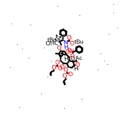 C=CCOC(=O)O[C@H]1C(=O)[C@]2(C)[C@@H](OC(=O)OCC=C)C[C@H]3OC[C@@]3(OC(C)=O)[C@H]2[C@H](OC(=O)c2ccccc2)[C@]2(O)C[C@H](OC[C@](C=O)([C@@H](NC(=O)OC(C)(C)C)c3ccccc3)[Si](C)(C)C(C)(C)C)C(C)=C1C2(C)C